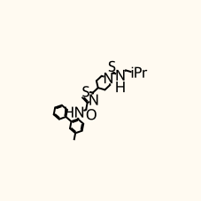 Cc1ccc(NC(=O)c2csc(C3CCN(C(=S)NCC(C)C)CC3)n2)c(-c2ccccc2)c1